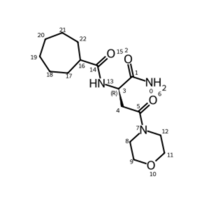 NC(=O)[C@@H](CC(=O)N1CCOCC1)NC(=O)C1CCCCCC1